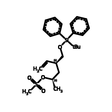 C=C[C@@H](CO[Si](c1ccccc1)(c1ccccc1)C(C)(C)C)C[C@H](C)OS(C)(=O)=O